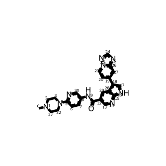 CN1CCN(c2ccc(NC(=O)c3cnc4[nH]cc(-c5ccn6ncnc6c5)c4c3)cn2)CC1